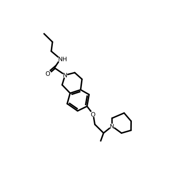 CCCNC(=O)N1CCc2cc(OCC(C)N3CCCCC3)ccc2C1